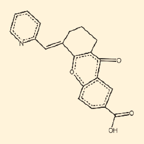 O=C(O)c1ccc2oc3c(c(=O)c2c1)CCCC3=Cc1ccccn1